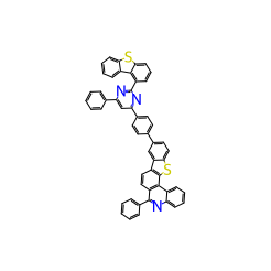 c1ccc(-c2cc(-c3ccc(-c4ccc5sc6c(ccc7c(-c8ccccc8)nc8ccccc8c76)c5c4)cc3)nc(-c3cccc4sc5ccccc5c34)n2)cc1